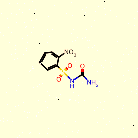 NC(=O)NS(=O)(=O)c1ccccc1[N+](=O)[O-]